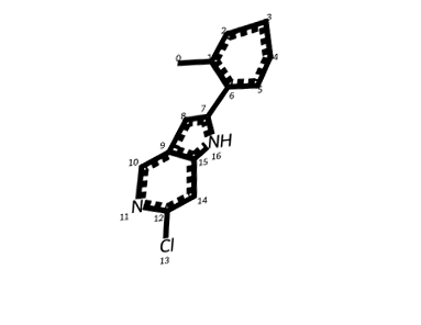 Cc1ccccc1-c1cc2cnc(Cl)cc2[nH]1